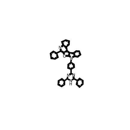 c1ccc(C2=NC(c3ccc(-n4c5ccccc5c5c6c(oc54)c(-c4ccccc4)nc4ccccc46)cc3)=NC(c3ccccc3)N2)cc1